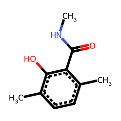 CNC(=O)c1c(C)ccc(C)c1O